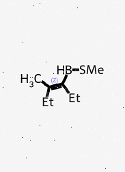 CC/C(C)=C(/BSC)CC